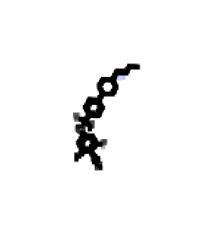 CC/C=C/C1CCC(c2ccc(C(F)(F)Oc3cc(F)c(C#N)c(F)c3)cc2)CC1